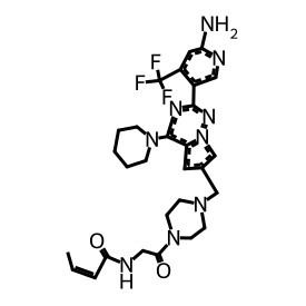 C/C=C\C(=O)NCC(=O)N1CCN(Cc2cc3c(N4CCCCC4)nc(-c4cnc(N)cc4C(F)(F)F)nn3c2)CC1